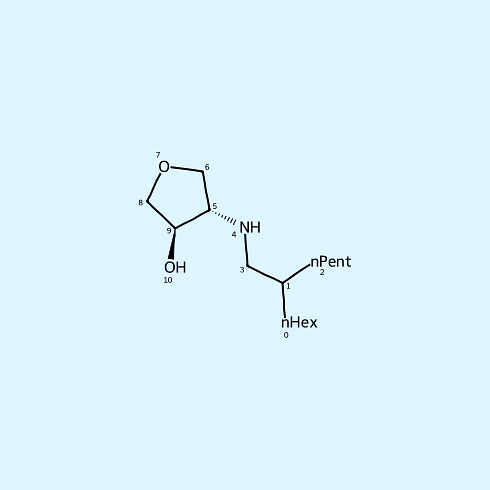 CCCCCCC(CCCCC)CN[C@H]1COC[C@@H]1O